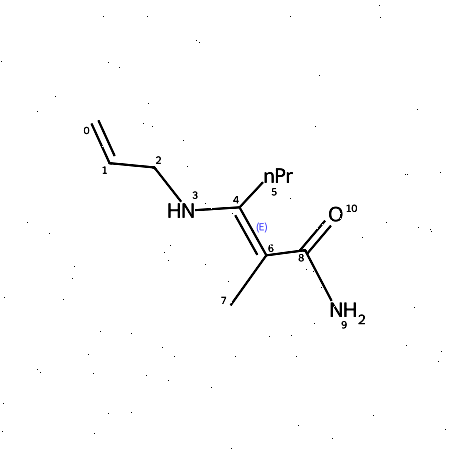 C=CCN/C(CCC)=C(\C)C(N)=O